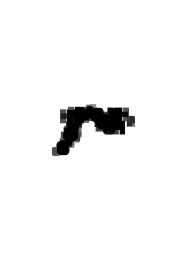 COCCc1ccc(OCC(O)CNC(C)COc2ccc(O)c(C(N)=O)c2)cc1